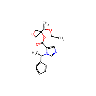 C=C(OCC)C1(OC(=O)c2cncn2[C@H](C)c2ccccc2)COC1